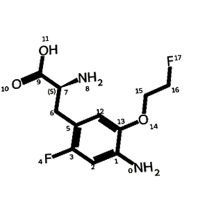 Nc1cc(F)c(C[C@H](N)C(=O)O)cc1OCCF